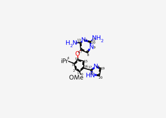 COc1cc(C(C)C)c(Oc2cnc(N)nc2N)cc1-c1ncc[nH]1